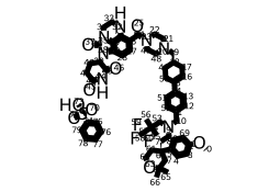 COc1ccc([C@]2(CCN(Cc3ccc(C4=CC[C@H](CN5CCN(C(=O)c6ccc7c8c6NCCn8c(=O)n7[C@@H]6CCC(=O)NC6=O)CC5)CC4)cc3)CC(C)(C)C(F)(F)F)CCOC(C)(C)C2)cc1.O=S(=O)(O)c1ccccc1